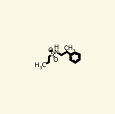 CCCS(=O)(=O)NC[C@H](C)c1ccccc1